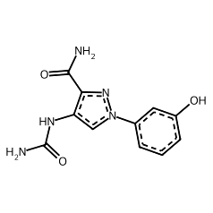 NC(=O)Nc1cn(-c2cccc(O)c2)nc1C(N)=O